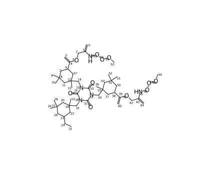 C=C(COC(=C)C1CC(C)(C)CC(C)(Cn2c(=O)n(CC3(C)CC(CC)CC(C)(C)C3)c(=O)n(CC3(C)CC(C(=C)OCC(=C)NOOOC)CC(C)(C)C3)c2=O)C1)NOOOC